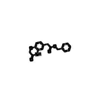 O=C1COc2ccc(CC(=O)OCc3ccccc3)cc2N1